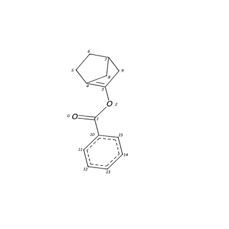 O=C(OC1=C2CCC(C2)C1)c1ccccc1